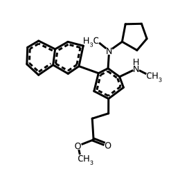 CNc1cc(CCC(=O)OC)cc(-c2ccc3ccccc3c2)c1N(C)C1CCCC1